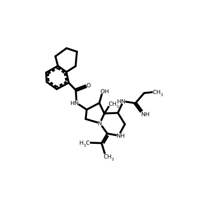 CCC(=N)NC1CNC(=C(C)C)N2CC(NC(=O)c3cccc4c3CCCC4)C(O)C12C